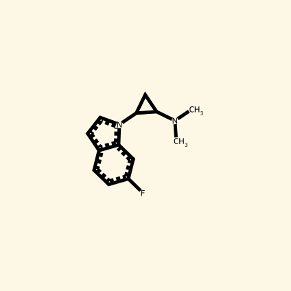 CN(C)C1CC1n1ccc2ccc(F)cc21